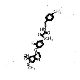 COc1cc2nccc(Oc3ccc(N(C)C(=O)C(=O)NCCc4ccc(C)cc4)cc3F)c2cc1OC